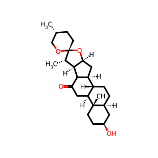 C[C@@H]1CC[C@@]2(OC1)O[C@H]1C[C@@H]3C(C(=O)C[C@H]4[C@H]3CC[C@H]3C[C@@H](O)CC[C@@]34C)[C@H]1[C@@H]2C